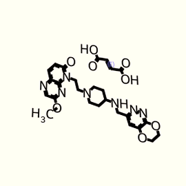 COc1cnc2ccc(=O)n(CCN3CCC(NCc4cc5c(nn4)OCCO5)CC3)c2n1.O=C(O)/C=C/C(=O)O